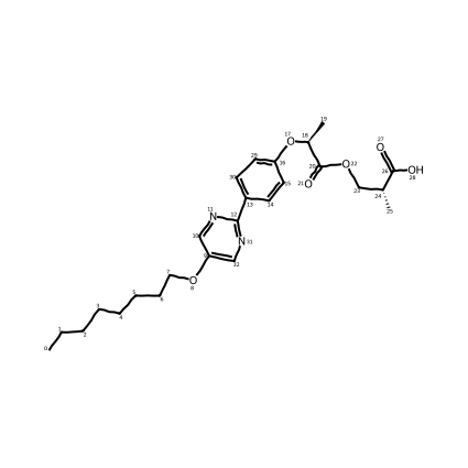 CCCCCCCCOc1cnc(-c2ccc(O[C@@H](C)C(=O)OC[C@@H](C)C(=O)O)cc2)nc1